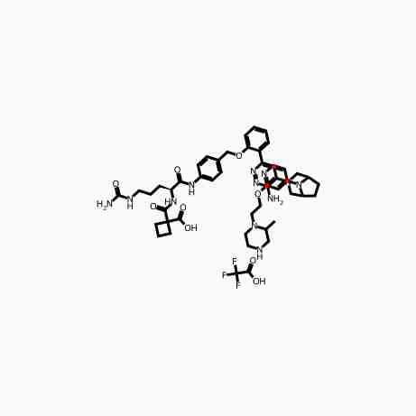 CC1CNCCN1CCOc1cc(N2C3CCC2CN(c2cc(-c4ccccc4OCc4ccc(NC(=O)[C@H](CCCNC(N)=O)NC(=O)C5(C(=O)O)CCC5)cc4)nnc2N)C3)ccn1.O=C(O)C(F)(F)F